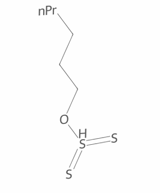 CCCCCCO[SH](=S)=S